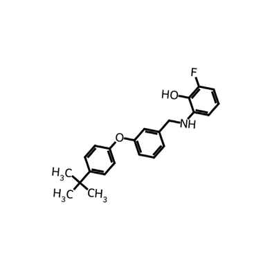 CC(C)(C)c1ccc(Oc2cccc(CNc3cccc(F)c3O)c2)cc1